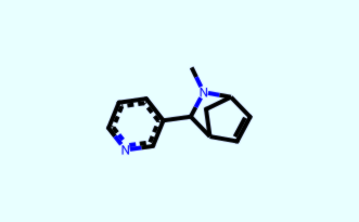 CN1C2C=CC(C2)C1c1cccnc1